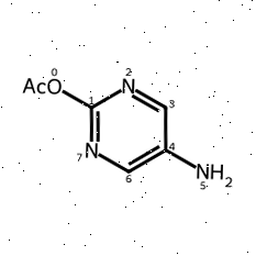 CC(=O)Oc1ncc(N)cn1